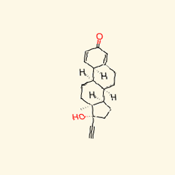 C#C[C@]1(O)CC[C@@H]2[C@@H]3CCC4=CC(=O)C=C[C@@H]4[C@@H]3CC[C@@]21C